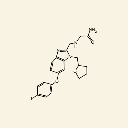 NC(=O)CNCc1nc2ccc(Oc3ccc(F)cc3)cc2n1C[C@H]1CCCO1